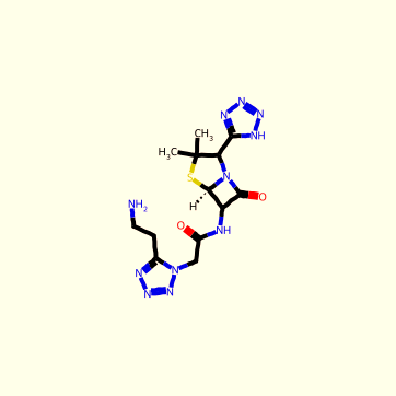 CC1(C)S[C@@H]2C(NC(=O)Cn3nnnc3CCN)C(=O)N2C1c1nnn[nH]1